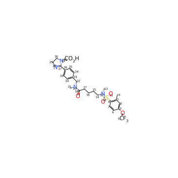 Cc1cc(OC(F)(F)F)ccc1S(=O)(=O)N(C)CCCCC(=O)N(C)Cc1ccc(C2=NCCN2C(=O)O)cc1